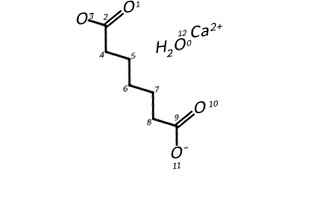 O.O=C([O-])CCCCCC(=O)[O-].[Ca+2]